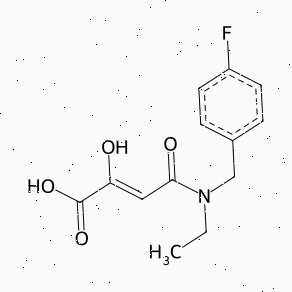 CCN(Cc1ccc(F)cc1)C(=O)/C=C(\O)C(=O)O